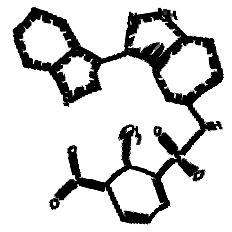 CC1C(S(=O)(=O)Nc2ccc3[nH]nc(-c4csc5ccccc45)c3c2)=CC=CC1=S(=O)=O